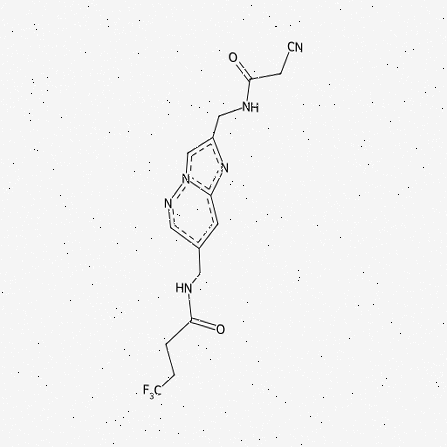 N#CCC(=O)NCc1cn2ncc(CNC(=O)CCC(F)(F)F)cc2n1